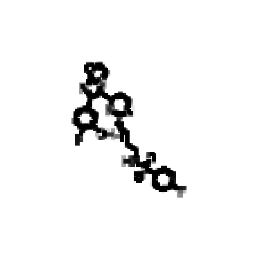 O=S(=O)(NCCCNc1nccc(-c2c(-c3ccc(F)c(O)c3)nc3occn23)n1)c1ccc(F)cc1